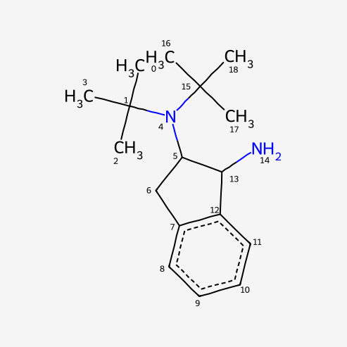 CC(C)(C)N(C1Cc2ccccc2C1N)C(C)(C)C